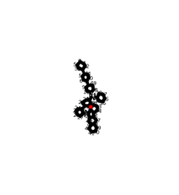 c1ccc(-c2ccc(-c3ccc(N(c4ccccc4)c4ccc(-c5ccccc5-n5c6ccccc6c6cc7ccccc7cc65)cc4)cc3)cc2)cc1